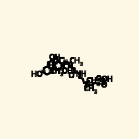 C[C@H](CCC(=O)NCCC[N+](C)(C)CCCS(=O)(=O)O)[C@H]1CC[C@H]2[C@@H]3[C@H](O)CC4C[C@H](O)CC[C@]4(C)[C@H]3C[C@H](O)[C@]12C